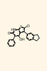 O=c1[nH]c2sc(Cl)c(-c3ccc4c(c3)CCC4)c2c(O)c1-c1ccccc1